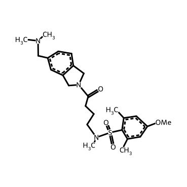 COc1cc(C)c(S(=O)(=O)N(C)CCCC(=O)N2Cc3ccc(CN(C)C)cc3C2)c(C)c1